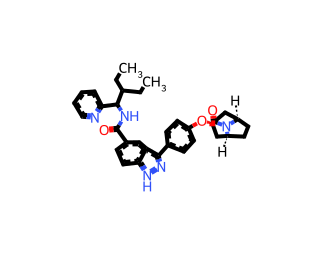 CCC(CC)C(NC(=O)c1ccc2[nH]nc(-c3ccc(O[C@H]4C[C@H]5CC[C@@H](C4)N5C=O)cc3)c2c1)c1ccccn1